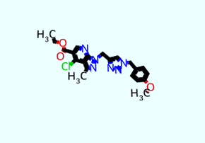 CCOC(=O)c1cnc2c(c(C)nn2Cc2cn(Cc3ccc(OC)cc3)nn2)c1Cl